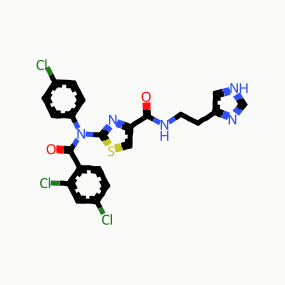 O=C(NCCc1c[nH]cn1)c1csc(N(C(=O)c2ccc(Cl)cc2Cl)c2ccc(Cl)cc2)n1